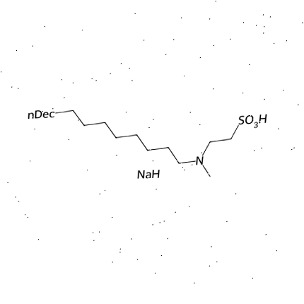 CCCCCCCCCCCCCCCCCCN(C)CCS(=O)(=O)O.[NaH]